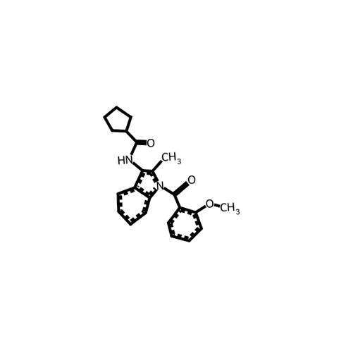 COc1ccccc1C(=O)n1c(C)c(NC(=O)C2CCCC2)c2ccccc21